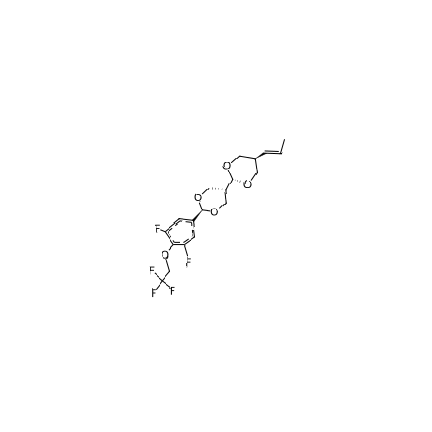 C/C=C/[C@H]1CO[C@H]([C@H]2CO[C@H](c3cc(F)c(OCC(F)(F)F)c(F)c3)OC2)OC1